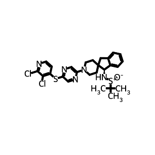 CC(C)(C)[S+]([O-])N[C@@H]1c2ccccc2CC12CCN(c1cnc(Sc3ccnc(Cl)c3Cl)cn1)CC2